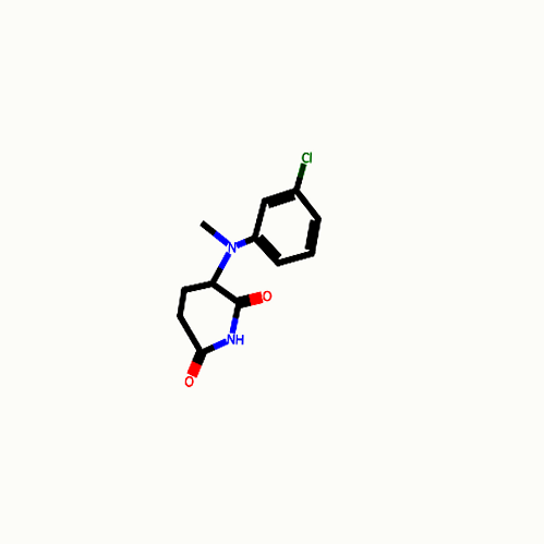 CN(c1cccc(Cl)c1)C1CCC(=O)NC1=O